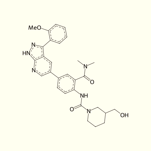 COc1ccccc1-c1n[nH]c2ncc(-c3ccc(NC(=O)N4CCCC(CO)C4)c(C(=O)N(C)C)c3)cc12